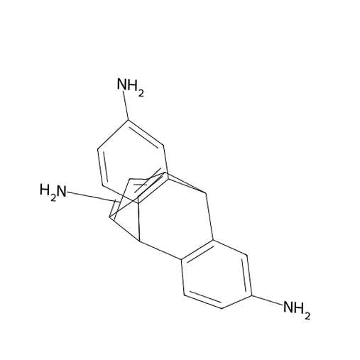 Nc1ccc2c(c1)C1c3cc(N)ccc3C23c2c(N)ccc1c23